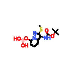 CSc1nn2c(OB(O)O)cccc2c1NC(=O)OC(C)(C)C